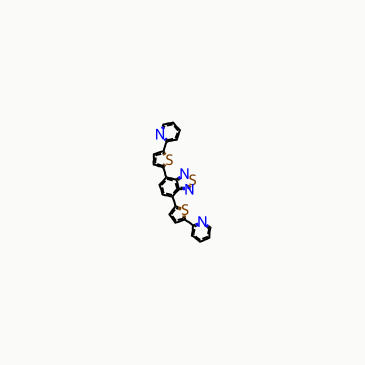 c1ccc(-c2ccc(-c3ccc(-c4ccc(-c5ccccn5)s4)c4nsnc34)s2)nc1